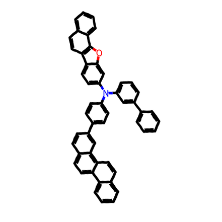 c1ccc(-c2cccc(N(c3ccc(-c4ccc5ccc6c7ccccc7ccc6c5c4)cc3)c3ccc4c(c3)oc3c5ccccc5ccc43)c2)cc1